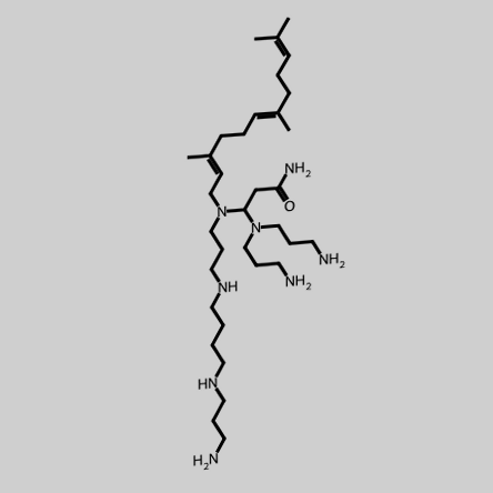 CC(C)=CCCC(C)=CCCC(C)=CCN(CCCNCCCCNCCCN)C(CC(N)=O)N(CCCN)CCCN